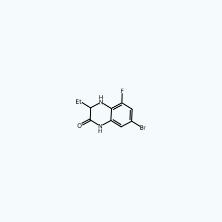 CCC1Nc2c(F)cc(Br)cc2NC1=O